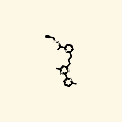 C#CCO/N=C(\C)c1cccc(CCCc2cc(C)nc(-c3cccc(C)n3)n2)n1